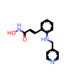 O=C(C=Cc1ccccc1NCc1ccncc1)NO